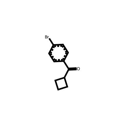 O=C(c1ccc(Br)cc1)C1CCC1